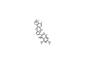 COc1nc(OC)c(NC(=O)c2ccc(Oc3c(Cl)cc(C)c4c3CC[Si]4(C)C)o2)c(OC)n1